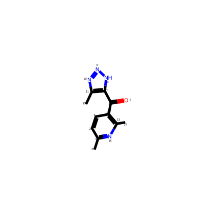 Cc1ccc(C(=O)c2[nH]nnc2C)c(C)n1